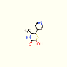 CC1=C(c2ccncc2)SC(O)C(=O)N1